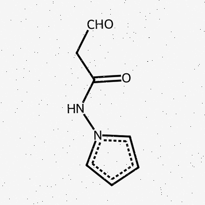 O=CCC(=O)Nn1cccc1